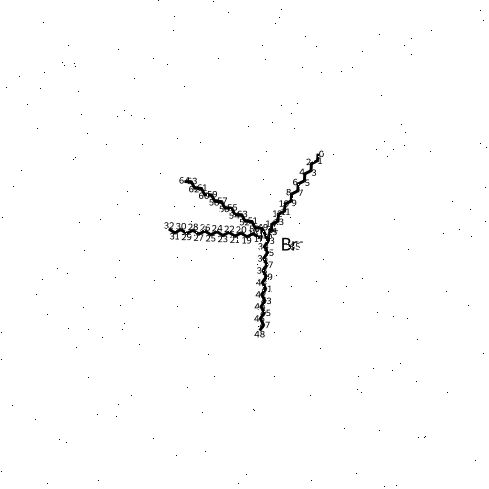 CCCCCCCCCCCCCCCC[N+](CCCCCCCCCCCCCCCC)(CCCCCCCCCCCCCCCC)CCCCCCCCCCCCCCCC.[Br-]